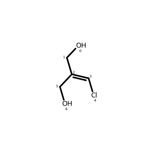 OCC(=CCl)CO